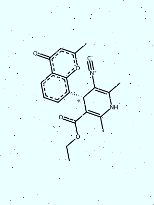 [C-]#[N+]C1=C(C)NC(C)=C(C(=O)OCC)[C@@H]1c1cccc2c(=O)cc(C)oc12